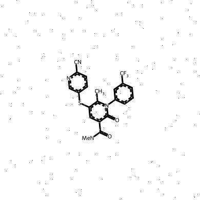 CNC(=O)c1cc(Sc2ccc(C#N)nc2)c(C)n(-c2cccc(C(F)(F)F)c2)c1=O